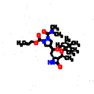 C=CCOC(=O)N1CC(C(=O)C[C@H]2NC(=O)[C@@H]2[C@@H](C)O[Si](C)(C)C(C)(C)C)CN1C(=O)N(C)C